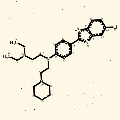 CCN(CC)CCN(CCN1CCCCC1)c1ccc(-c2nc3cc(Cl)ccc3[nH]2)cc1